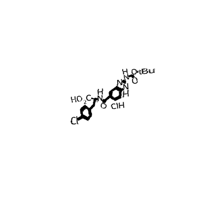 CC(C)(C)OC(=O)Nc1nc2cc(C(=O)N[C@@H](Cc3ccc(Cl)cc3)C(=O)O)ccc2[nH]1.Cl